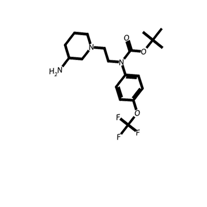 CC(C)(C)OC(=O)N(CCN1CCCC(N)C1)c1ccc(OC(F)(F)F)cc1